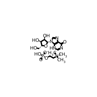 C[N+](C)(C)CCOP(=O)([O-])O.O=c1nc[nH]c2c1ncn2[C@@H]1O[C@H](CO)[C@@H](O)[C@H]1O